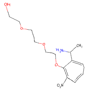 CC(N)c1cccc([N+](=O)[O-])c1OCCOCCOCCO